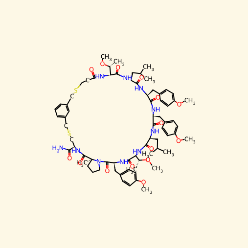 COc1ccc(C[C@@H]2NC(=O)[C@H](Cc3ccc(OC)cc3)NC(=O)[C@H](CC(C)C)NC(=O)[C@H]([C@@H](C)OC)NC(=O)CCSCc3cccc(c3)CSC[C@H](C(N)=O)NC(=O)[C@]3(C)CCCN3C(=O)[C@H](Cc3ccc(OC)cc3)NC(=O)[C@H]([C@@H](C)OC)NC(=O)[C@H](CC(C)C)NC2=O)cc1